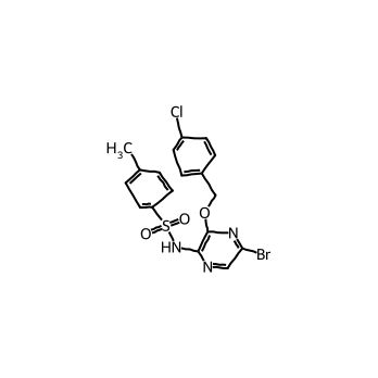 Cc1ccc(S(=O)(=O)Nc2ncc(Br)nc2OCc2ccc(Cl)cc2)cc1